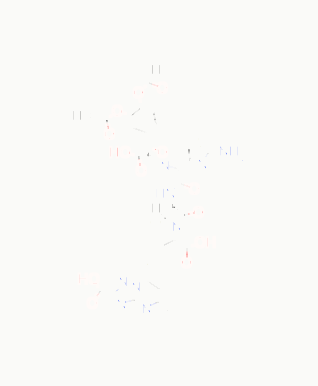 CC(=O)Oc1ccc([C@@H](ON=C(C(=O)N[C@@H]2C(=O)N3C(C(=O)O)=C(CSc4cc(C)nc5nc(C(=O)O)nn45)CS[C@H]23)c2csc(N)n2)C(=O)O)cc1OC(C)=O